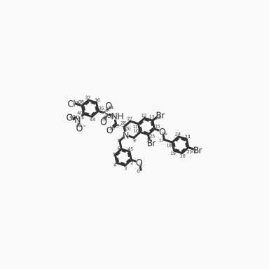 COc1cccc(CN2Cc3c(cc(Br)c(OCc4ccc(Br)cc4)c3Br)C[C@H]2C(=O)NS(=O)(=O)c2ccc(Cl)c([N+](=O)[O-])c2)c1